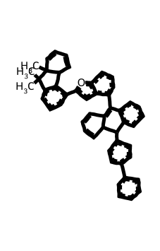 CC1(C)c2cccc(-c3cc4c(C5=C6C=CC=CC6C(c6ccc(-c7ccccc7)cc6)c6ccccc65)cccc4o3)c2C2C=CC=CC21C